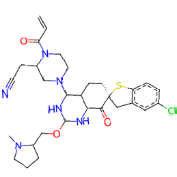 C=CC(=O)N1CCN(C2NC(OCC3CCCN3C)NC3C(=O)[C@]4(CCC32)Cc2cc(Cl)ccc2S4)CC1CC#N